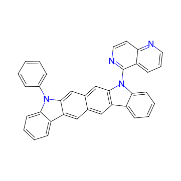 c1ccc(-n2c3ccccc3c3cc4cc5c6ccccc6n(-c6nccc7ncccc67)c5cc4cc32)cc1